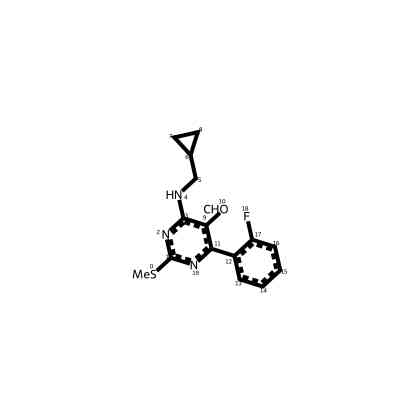 CSc1nc(NCC2CC2)c(C=O)c(-c2ccccc2F)n1